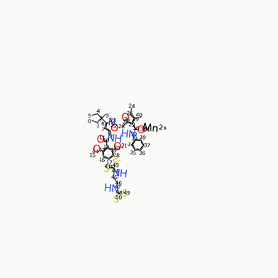 CCC(C)(CC)c1cc(NC(=O)c2c(OC)cccc2OC)on1.Cc1oc(C)c(C(=O)Nc2ccccc2)c1C.S=C([S-])NCCNC(=S)[S-].[Mn+2]